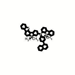 CS1(C)c2cc(N(c3ccc(-c4cccc5ccccc45)cc3)c3cccc4c3S(C)(C)c3ccccc3-4)ccc2-c2c1ccc1c2sc2ccccc21